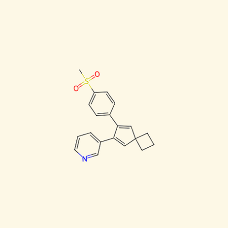 CS(=O)(=O)c1ccc(C2=CC3(C=C2c2cccnc2)CCC3)cc1